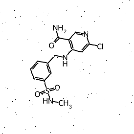 CNS(=O)(=O)c1cccc(CNc2cc(Cl)ncc2C(N)=O)c1